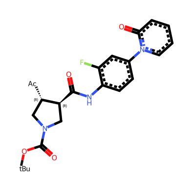 CC(=O)[C@H]1CN(C(=O)OC(C)(C)C)C[C@@H]1C(=O)Nc1ccc(-n2ccccc2=O)cc1F